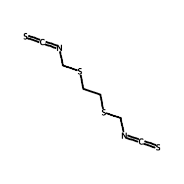 S=C=NCSCCSCN=C=S